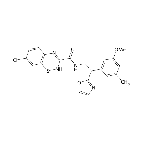 COc1cc(C)cc(C(CNC(=O)C2=Nc3ccc(Cl)cc3SN2)c2ncco2)c1